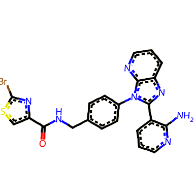 Nc1ncccc1-c1nc2cccnc2n1-c1ccc(CNC(=O)c2csc(Br)n2)cc1